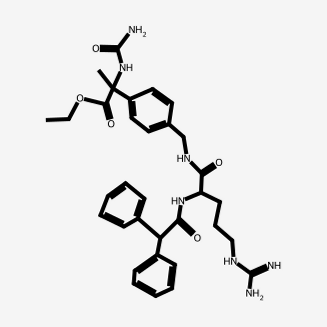 CCOC(=O)C(C)(NC(N)=O)c1ccc(CNC(=O)C(CCCNC(=N)N)NC(=O)C(c2ccccc2)c2ccccc2)cc1